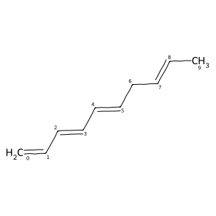 C=C/C=C/C=C/C/C=C/C